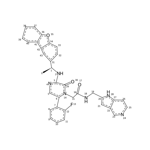 C[C@H](Nc1ncc(-c2ccccc2F)n(CC(=O)NCc2cc3cnccc3[nH]2)c1=O)c1ccc2oc3ccccc3c2c1